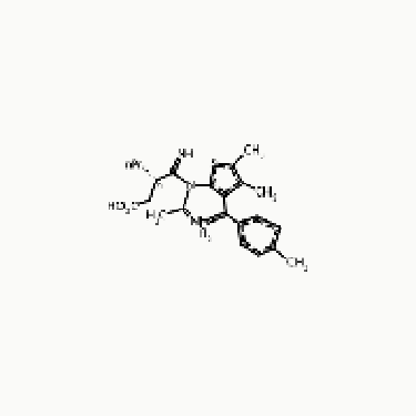 C=C(c1ccc(C)cc1)c1c(N(C(C)=N)C(=N)[C@@H](CCC)CC(=O)O)sc(C)c1C